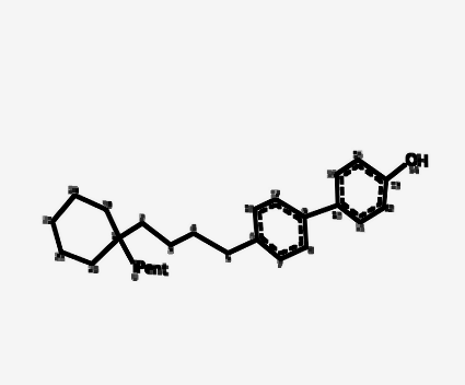 CCCC(C)C1(CCCCc2ccc(-c3ccc(O)cc3)cc2)CCCCC1